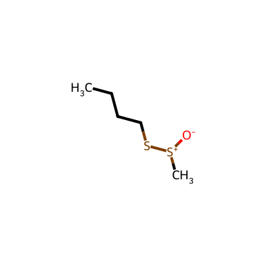 CCCCS[S+](C)[O-]